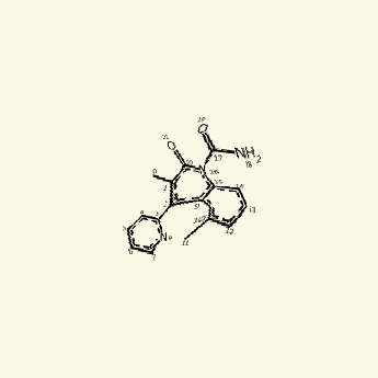 Cc1c(-c2ccccn2)c2c(C)cccc2n(C(N)=O)c1=O